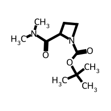 CN(C)C(=O)C1CCN1C(=O)OC(C)(C)C